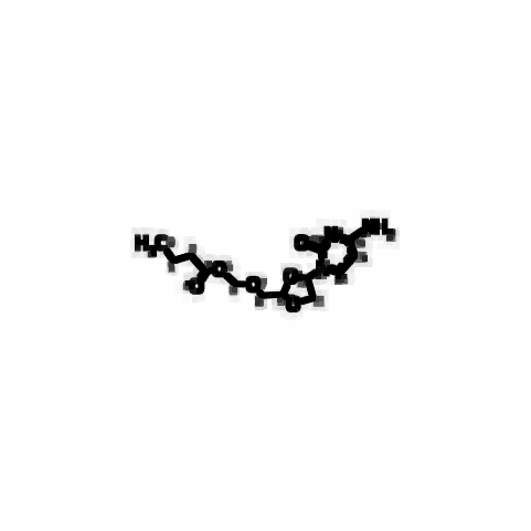 CCCC(=O)OCOCC1OCC(n2ccc(N)nc2=O)O1